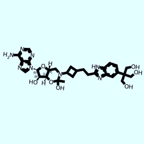 CC1(O)O[C@H]2[C@@H](O)[C@H](n3cnc4c(N)ncnc43)O[C@@H]2CN1C1CC(CCc2nc3cc(C(CO)(CO)CO)ccc3[nH]2)C1